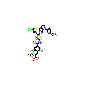 C/C(=C\c1c(Cl)cc(C(=O)Nc2nc(-c3cc(Cl)cs3)c(N3CC4CCN(C5CCC(C)C5)C4C3)s2)cc1Cl)C(=O)O